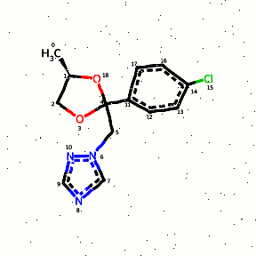 C[C@@H]1COC(Cn2cncn2)(c2ccc(Cl)cc2)O1